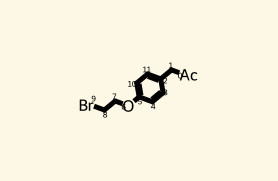 CC(=O)Cc1ccc(OCCBr)cc1